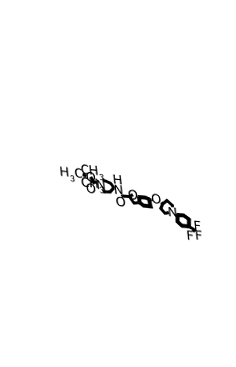 CC(C)(C)OC(=O)N1CCC(NC(=O)C2Cc3ccc(OC4CCN(c5ccc(C(F)(F)F)cc5)CC4)cc3O2)CC1